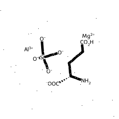 N[C@@H](CCC(=O)O)C(=O)[O-].[Al+3].[Mg+2].[O-][Si]([O-])([O-])[O-]